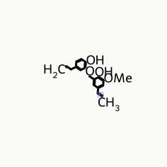 C=CCc1ccc(O)c(OCc2cc(/C=C/C)cc(OC)c2O)c1